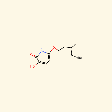 CC(CCOc1ccc(O)c(=O)[nH]1)CC(C)(C)C